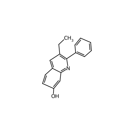 CCc1cc2ccc(O)cc2nc1-c1ccccc1